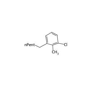 CCCCCCc1cccc(Cl)c1C